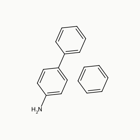 Nc1ccc(-c2ccccc2)cc1.c1ccccc1